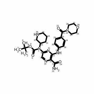 CC(C)(C)OC(=O)N(c1cnc(C(N)=O)c(Nc2ccc(C(=O)N3CCOCC3)cc2)n1)C1CCCNC1